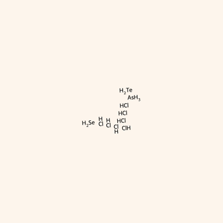 Cl.Cl.Cl.Cl.Cl.Cl.Cl.[AsH3].[SeH2].[TeH2]